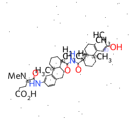 C#C/C(O)=C\C1=C(C)CC[C@H]2[C@@](C)(C(=O)NC(=O)[C@@]3(C)CCC[C@]4(C)c5cc(NC(=O)[C@H](CCC(=O)O)NC)ccc5CCC34)CCC[C@]12C